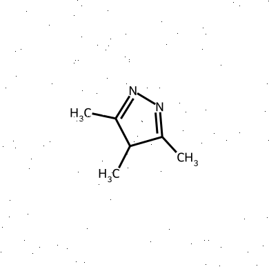 CC1=NN=C(C)C1C